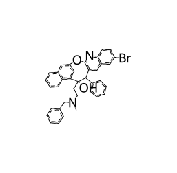 CN(CCC1(O)c2cc(cc3ccccc23)Oc2nc3ccc(Br)cc3cc2C1c1ccccc1)Cc1ccccc1